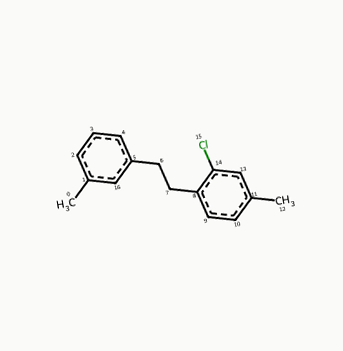 Cc1cccc(CCc2ccc(C)cc2Cl)c1